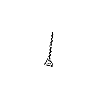 CCCCCCCCCCCCCCCC[N+]1(C)CC[N+](C)(C)CC[N+](C)(C)CC1